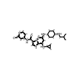 CC(C)CN[C@H]1CC[C@H](Nc2cc(NC3CC3)c3ncc(C(=O)Nc4ccnc(Cl)c4)n3n2)CC1